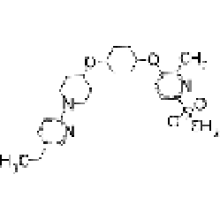 CCc1ccc(N2CCC(O[C@H]3CC[C@H](Oc4ccc(S(C)(=O)=O)nc4C)CC3)CC2)nc1